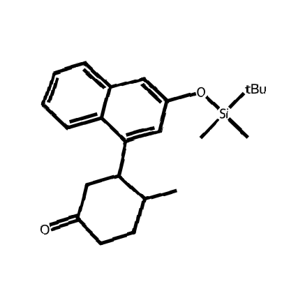 CC1CCC(=O)CC1c1cc(O[Si](C)(C)C(C)(C)C)cc2ccccc12